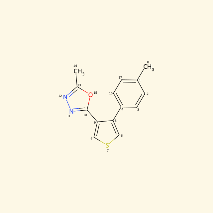 Cc1ccc(-c2cscc2-c2nnc(C)o2)cc1